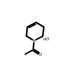 CC(=O)N1CC=CCC1.Cl